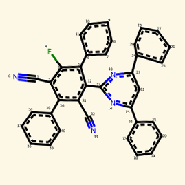 N#Cc1c(F)c(-c2ccccc2)c(-c2nc(-c3ccccc3)cc(-c3ccccc3)n2)c(C#N)c1-c1ccccc1